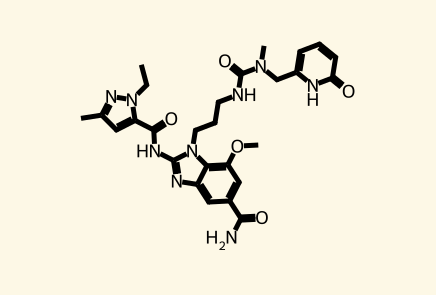 CCn1nc(C)cc1C(=O)Nc1nc2cc(C(N)=O)cc(OC)c2n1CCCNC(=O)N(C)Cc1cccc(=O)[nH]1